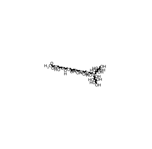 CC(=O)[C@@H](O)COCC(O)COCC(O)COCC(O)COCC(O)COCC(O)COCC(O)CN(C[C@H](O)[C@@H](O)[C@H](O)[C@H](O)CO)C[C@H](O)[C@@H](O)[C@H](O)[C@H](O)CO